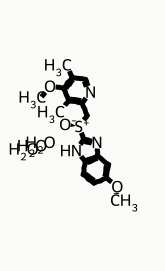 COc1ccc2[nH]c([S@@+]([O-])Cc3ncc(C)c(OC)c3C)nc2c1.O.O.O